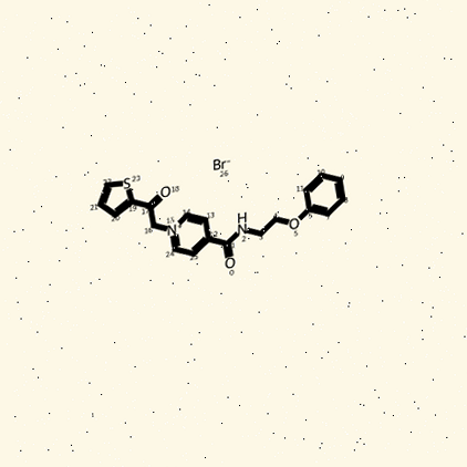 O=C(NCCOc1ccccc1)c1cc[n+](CC(=O)c2cccs2)cc1.[Br-]